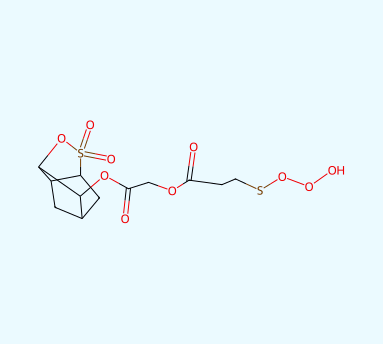 O=C(CCSOOO)OCC(=O)OC1C2CC3C1OS(=O)(=O)C3C2